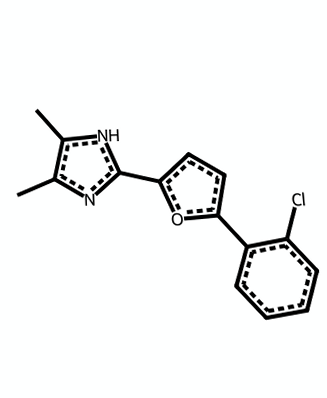 Cc1nc(-c2ccc(-c3ccccc3Cl)o2)[nH]c1C